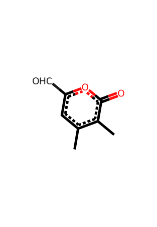 Cc1cc(C=O)oc(=O)c1C